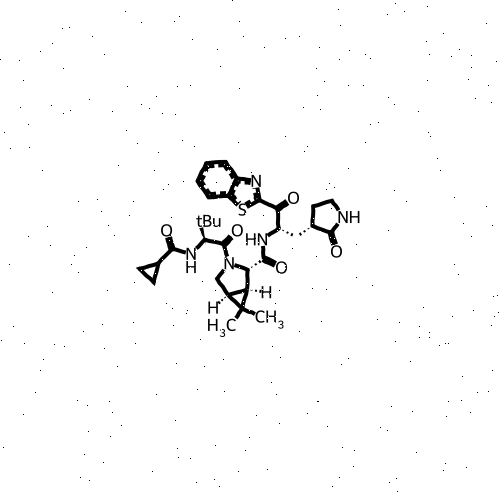 CC(C)(C)[C@H](NC(=O)C1CC1)C(=O)N1C[C@H]2[C@@H]([C@H]1C(=O)N[C@@H](C[C@@H]1CCNC1=O)C(=O)c1nc3ccccc3s1)C2(C)C